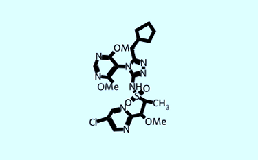 COc1ncnc(OC)c1-n1c(CC2CCCC2)nnc1NS(=O)(=O)C(C)C(OC)c1ncc(Cl)cn1